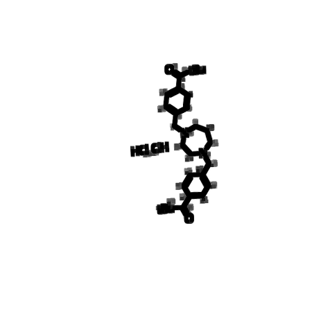 CC(C)(C)C(=O)c1ccc(CN2CCCN(Cc3ccc(C(=O)C(C)(C)C)cc3)CC2)cc1.Cl.Cl